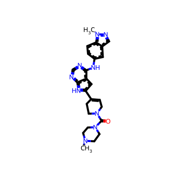 CN1CCN(C(=O)N2CC=C(c3cc4c(Nc5ccc6c(cnn6C)c5)ncnc4[nH]3)CC2)CC1